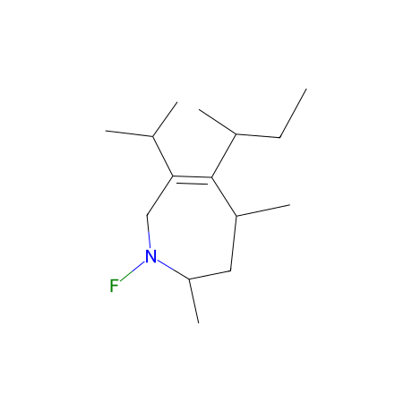 CCC(C)C1=C(C(C)C)CN(F)C(C)CC1C